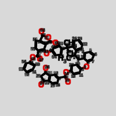 CC(Cc1ccccc1Oc1ccc(OC(=O)c2ccc3c(c2)C(=O)CC3=O)cc1)c1ccccc1C(C)(C)c1ccc(Oc2c(C(=O)Oc3ccccc3)ccc3c2C(=O)OC3=O)cc1